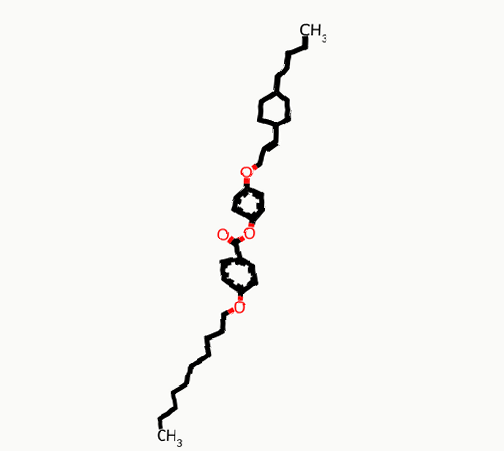 CCCCCCCCCCOc1ccc(C(=O)Oc2ccc(OCC=CC3CCC(CCCCC)CC3)cc2)cc1